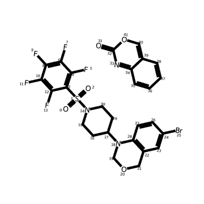 O=S(=O)(c1c(F)c(F)c(F)c(F)c1F)N1CCC(N2COCc3cc(Br)ccc32)CC1.O=c1nc2ccccc2co1